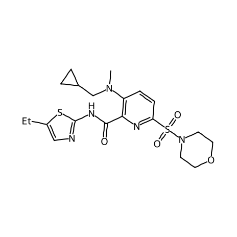 CCc1cnc(NC(=O)c2nc(S(=O)(=O)N3CCOCC3)ccc2N(C)CC2CC2)s1